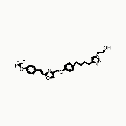 OCCn1cc(CCCCc2ccc(OCc3coc(C=Cc4ccc(OC(F)(F)F)cc4)n3)cc2)nn1